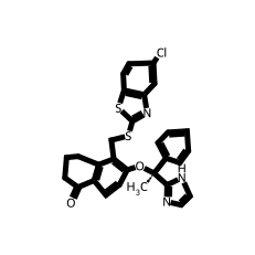 C[C@](Oc1ccc2c(c1CSc1nc3cc(Cl)ccc3s1)CCCC2=O)(c1ccccc1)c1ncc[nH]1